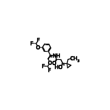 CCC1([C@H](O)CC(=O)N[C@@H](COC(F)F)c2cccc(OC(F)F)c2)CC1